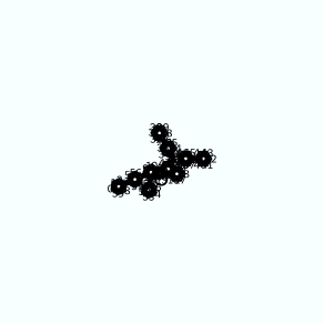 c1ccc(-c2ccc(-c3ccc4c(oc5c6ccccc6c(N(c6ccc(-c7ccccc7)cc6)c6ccc(-c7ccccc7)cc6)cc45)c3-c3ccccc3)cc2)cc1